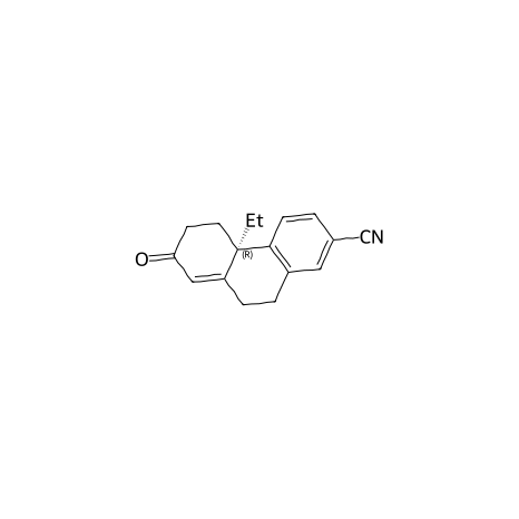 CC[C@@]12CCC(=O)C=C1CCc1cc(C#N)ccc12